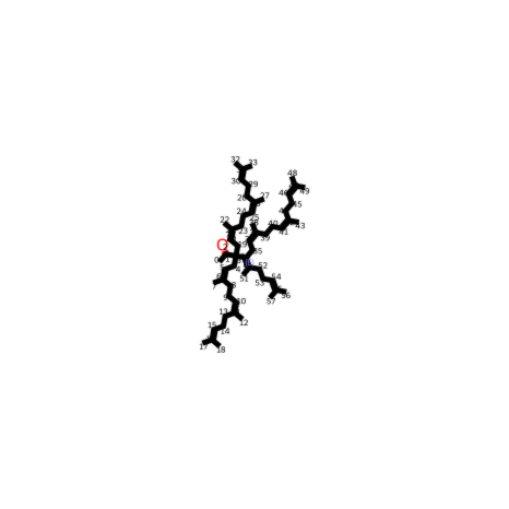 CC(=O)C(CC=C(C)CCC=C(C)CCC=C(C)C)(CC=C(C)CCC=C(C)CCC=C(C)C)/C(CC=C(C)CCC=C(C)CCC=C(C)C)=C(\C)CCC=C(C)C